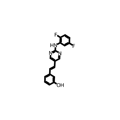 Oc1cccc(C=Cc2cnc(Nc3cc(F)ccc3F)nc2)c1